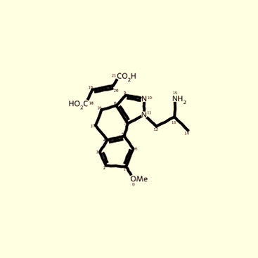 COc1ccc2c(c1)-c1c(cnn1CC(C)N)CC2.O=C(O)/C=C/C(=O)O